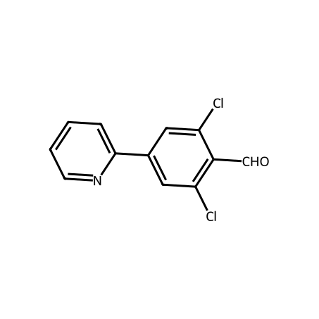 O=Cc1c(Cl)cc(-c2ccccn2)cc1Cl